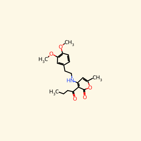 CCCC(=O)c1c(NCCc2ccc(OC)c(OC)c2)cc(C)oc1=O